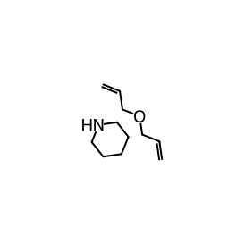 C1CCNCC1.C=CCOCC=C